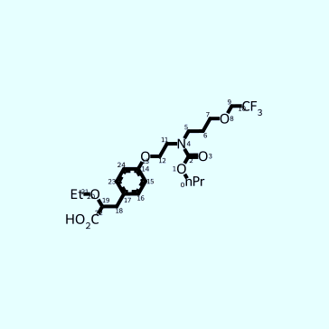 CCCOC(=O)N(CCCOCC(F)(F)F)CCOc1ccc(CC(OCC)C(=O)O)cc1